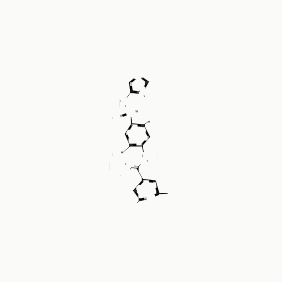 N[C@H](Nc1cc(F)c(S(=O)(=O)Nc2cscn2)cc1Cl)c1cc(F)cc(F)c1